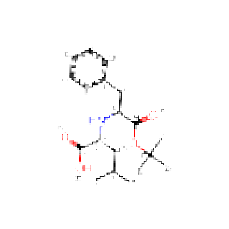 CC(C)C[C@H](NC(Cc1ccccc1)C(=O)OC(C)(C)C)C(=O)O